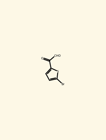 O=CC(=O)c1ccc(Br)s1